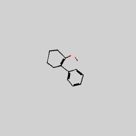 O=C(O)OC1=C(c2ccccc2)CCCC1